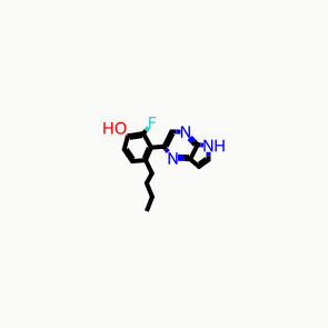 CCCCc1ccc(O)c(F)c1-c1cnc2[nH]ccc2n1